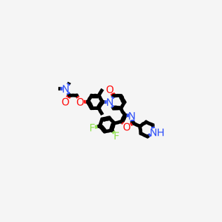 Cc1cc(OCC(=O)N(C)C)cc(C)c1-n1cc(-c2nc(C3CCNCC3)oc2-c2ccc(F)cc2F)ccc1=O